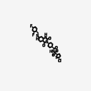 O=C(NS(=O)(=O)c1ccc(Cl)s1)c1ccc(-n2c(=O)[nH]c3cc(NCc4ccc(F)cc4F)ccc3c2=O)cc1